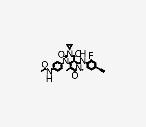 C#Cc1ccc(Nc2c3c(=O)n(C4CC4)c(=O)n(-c4ccc(NC(C)=O)cc4)c3c(C)c(=O)n2C)c(F)c1